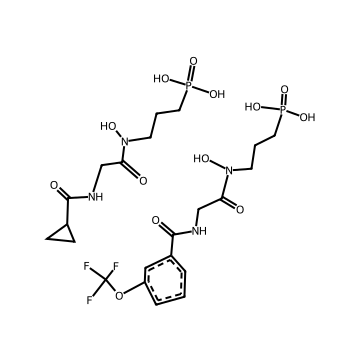 O=C(NCC(=O)N(O)CCCP(=O)(O)O)C1CC1.O=C(NCC(=O)N(O)CCCP(=O)(O)O)c1cccc(OC(F)(F)F)c1